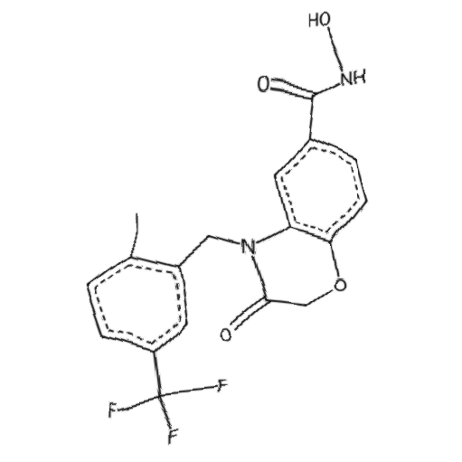 Cc1ccc(C(F)(F)F)cc1CN1C(=O)COc2ccc(C(=O)NO)cc21